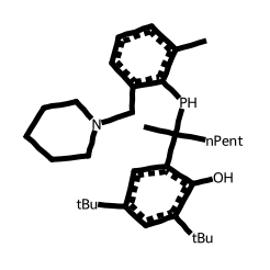 CCCCCC(C)(Pc1c(C)cccc1CN1CCCCC1)c1cc(C(C)(C)C)cc(C(C)(C)C)c1O